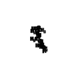 Cc1cc(OCC(C)(C)C(=O)O)ncc1-c1ccc(-c2nc(OCC(F)(F)F)n[nH]2)nc1